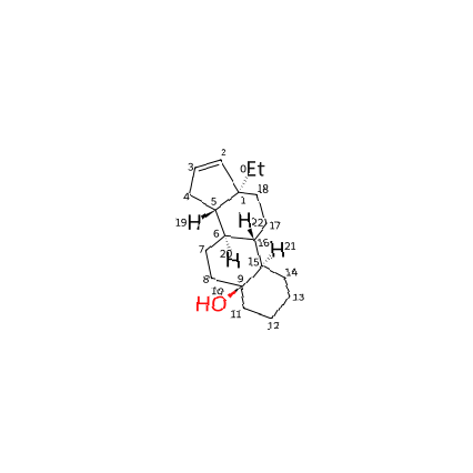 CC[C@@]12C=CC[C@H]1[C@@H]1CC[C@@]3(O)CCCC[C@@H]3[C@H]1CC2